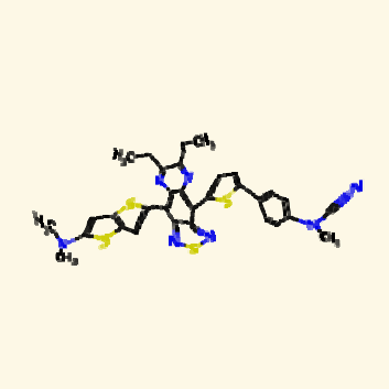 CCc1nc2c(-c3ccc(-c4ccc(N(C)C#N)cc4)s3)c3nsnc3c(-c3cc4sc(N(C)C)cc4s3)c2nc1CC